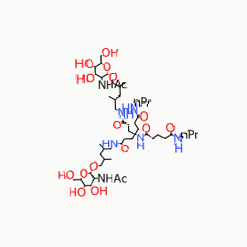 CCCNC(=O)CCCC(=O)NC(CCC(=O)NCCC)(CCC(=O)NCC(C)CC(C)COC1OC(CO)C(O)C(O)C1NC(C)=O)CCC(=O)NCC(C)CC(C)COC1OC(CO)C(O)C(O)C1NC(C)=O